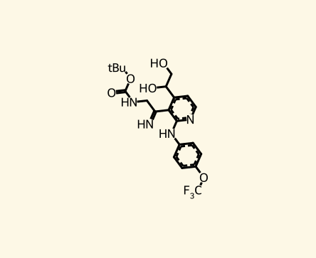 CC(C)(C)OC(=O)NCC(=N)c1c(C(O)CO)ccnc1Nc1ccc(OC(F)(F)F)cc1